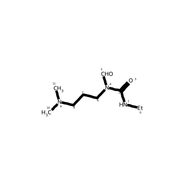 CCNC(=O)N(C=O)CCCN(C)C